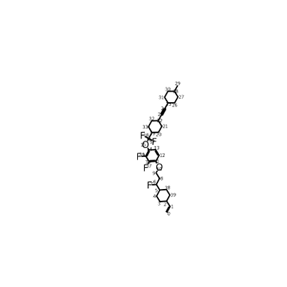 C=CC1CCC(C(F)CCOc2ccc(OC(F)(F)C3CCC(C#CC4CCC(C)CC4)CC3)c(F)c2F)CC1